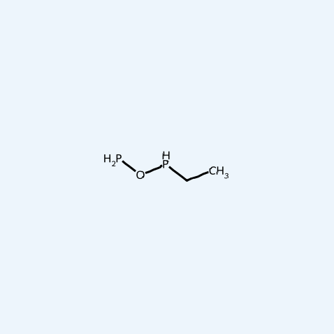 CCPOP